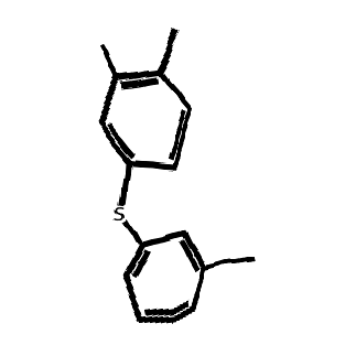 Cc1cccc(Sc2ccc(C)c(C)c2)c1